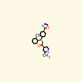 Cc1cc(C(=O)C[C@H](c2ccc(-c3ncco3)cc2)c2ccccc2C)ccn1